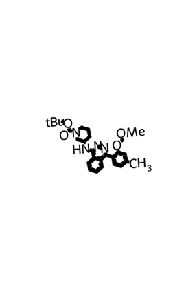 COCOc1cc(C)ccc1-c1nnc(N[C@@H]2CCCN(C(=O)OC(C)(C)C)C2)c2ccccc12